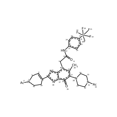 CC(=O)N1CC=C(c2nc3n(CC(=O)Nc4ccc(S(F)(F)(F)(F)F)cc4)c(C)c(N4CCN(C(C)=O)CC4)c(=O)n3n2)CC1